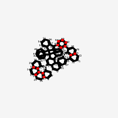 C1=CC2C(N(c3ccccc3-c3ccccc3)c3ccccc3-c3ccccc3)=CC3=C(c4ccccc4C3(c3ccccc3)C3(c4ccccc4)c4ccccc4-c4c3cc(N(c3ccccc3-c3ccccc3)c3ccccc3-c3ccccc3)c3ccccc43)C2C=C1